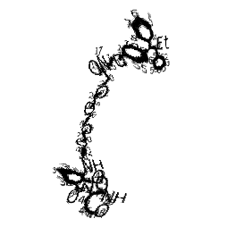 CC/C(=C(\c1ccccc1)c1ccc(OCCN(C)C(=O)CCOCCOCCOCCOCCNc2cccc3c2C(=O)N(C2CCCOCNC2=O)C3=O)cc1)c1ccccc1